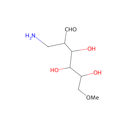 COCC(O)C(O)C(O)C(C=O)CN